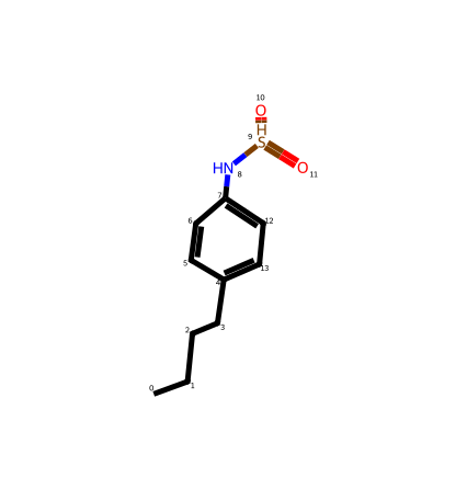 CCCCc1ccc(N[SH](=O)=O)cc1